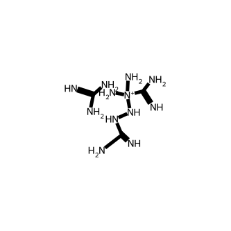 N=C(N)N.N=C(N)NN[N+](N)(N)C(=N)N